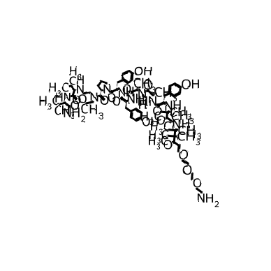 CCCN(CC(=O)N[C@H](C(=O)N[C@H](C(N)=O)C(C)C)C(C)C)C(=O)[C@@H]1CCCN1C(=O)[C@H](Cc1ccc(O)cc1)NC(=O)[C@H](Cc1ccc(O)cc1)NC(=O)[C@H](C)NC(=O)[C@H](C)NC(=O)[C@H](Cc1ccc(O)cc1)NC(C)(CC)C(=O)C(C)(C)NC(C)(CC)C(C)(CC)C(=O)CCOCCOCCOCCN